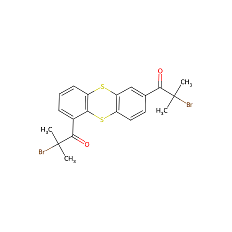 CC(C)(Br)C(=O)c1ccc2c(c1)Sc1cccc(C(=O)C(C)(C)Br)c1S2